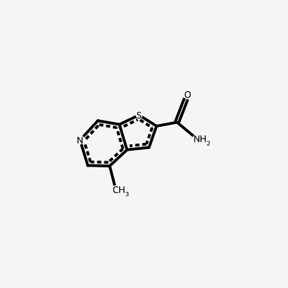 Cc1cncc2sc(C(N)=O)cc12